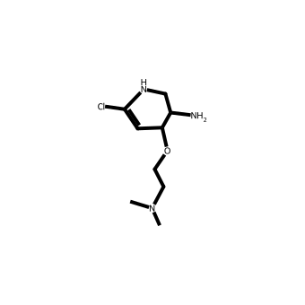 CN(C)CCOC1C=C(Cl)NCC1N